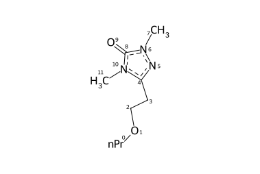 CCCOCCc1nn(C)c(=O)n1C